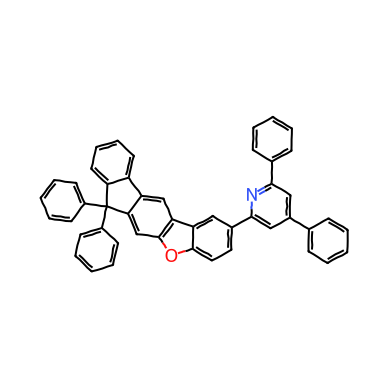 c1ccc(-c2cc(-c3ccccc3)nc(-c3ccc4oc5cc6c(cc5c4c3)-c3ccccc3C6(c3ccccc3)c3ccccc3)c2)cc1